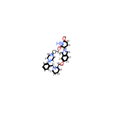 CN1CCN(c2ccccc2CN2CCCC[C@@H]2COc2ccc3c(c2)CN(C2CCC(=O)NC2=O)C3)CC1